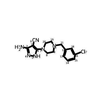 N#Cc1c(N)n[nH]c1N1CCN(Cc2cccc(Cl)c2)CC1